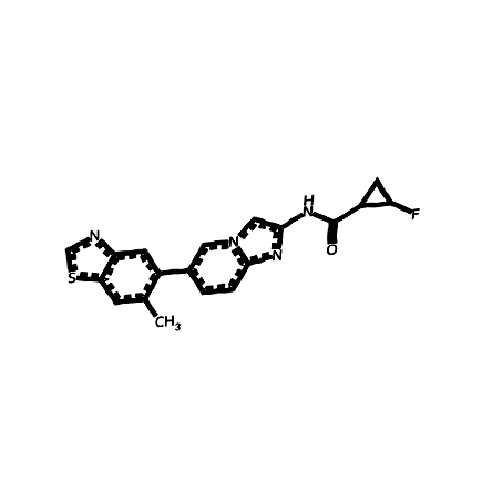 Cc1cc2scnc2cc1-c1ccc2nc(NC(=O)C3CC3F)cn2c1